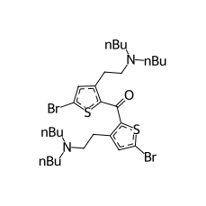 CCCCN(CCCC)CCc1cc(Br)sc1C(=O)c1sc(Br)cc1CCN(CCCC)CCCC